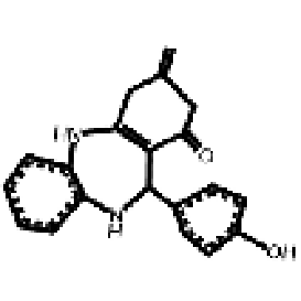 C=C1CC(=O)C2=C(C1)Nc1ccccc1NC2c1ccc(O)cc1